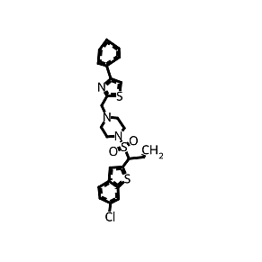 C=CC(c1cc2ccc(Cl)cc2s1)S(=O)(=O)N1CCN(Cc2nc(-c3ccccc3)cs2)CC1